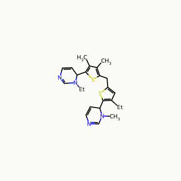 CCc1cc(Cc2sc(C3C=CN=CN3CC)c(C)c2C)sc1C1C=CN=CN1C